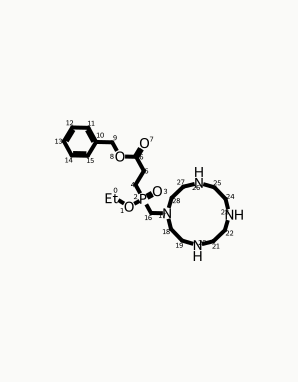 CCOP(=O)(CCC(=O)OCc1ccccc1)CN1CCNCCNCCNCC1